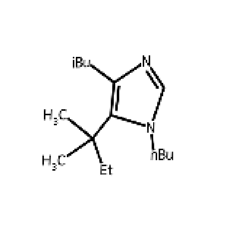 CCCCn1cnc(C(C)CC)c1C(C)(C)CC